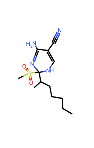 CCCCCC(C)C1(S(C)(=O)=O)N=C(N)C(C#N)=CN1